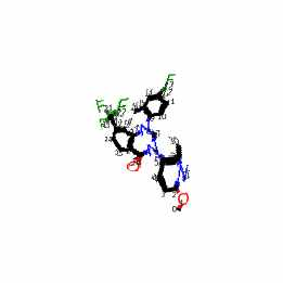 COc1ccc(N2CN(c3ccc(F)cc3C)c3cc(C(F)(F)F)ccc3C2=O)c(C)n1